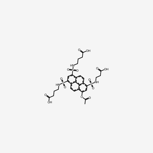 CC(=O)Oc1cc(S(=O)(=O)NCCC(=O)O)c2ccc3c(S(=O)(=O)NCCCC(=O)O)cc(S(=O)(=O)NCCCC(=O)O)c4ccc1c2c43